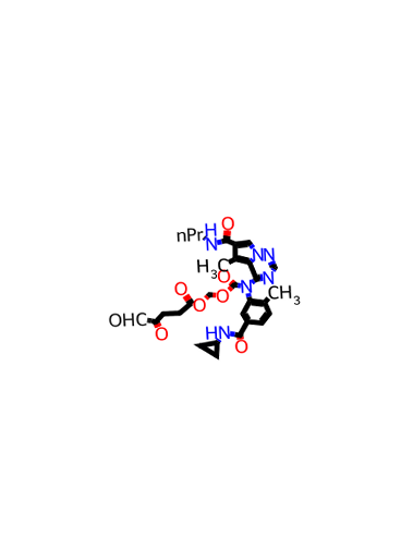 CCCNC(=O)c1cn2ncnc(N(C(=O)OCOC(=O)CCC(=O)C=O)c3cc(C(=O)NC4CC4)ccc3C)c2c1C